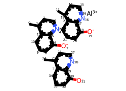 Cc1ccnc2c([O-])cccc12.Cc1ccnc2c([O-])cccc12.Cc1ccnc2c([O-])cccc12.[Al+3]